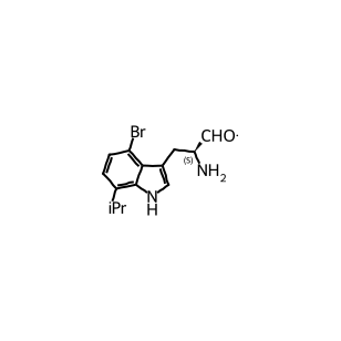 CC(C)c1ccc(Br)c2c(C[C@H](N)[C]=O)c[nH]c12